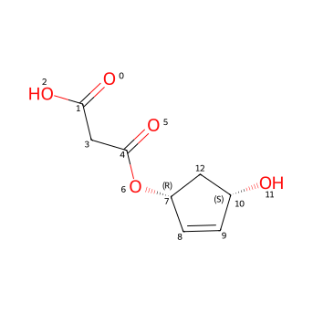 O=C(O)CC(=O)O[C@H]1C=C[C@@H](O)C1